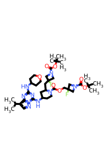 CC(C)c1cnn2c(NC3CCN(C(=O)OCC4(F)CN(C(=O)OC(C)(C)C)C4)C(CC4(F)CN(C(=O)OC(C)(C)C)C4)C3)nc(NC3CCOCC3)nc12